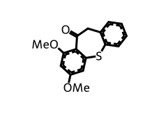 COc1cc(OC)c2c(c1)Sc1ccccc1CC2=O